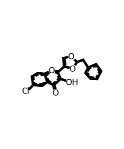 O=c1c(O)c(C2=COC(Cc3ccccc3)O2)oc2ccc(Cl)cc12